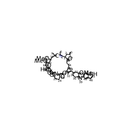 C=CCC1/C=C(\C)CC(C)CC(OC)C2OC(O)(C(=O)C(=O)N3CCCCC3C(=O)OC(C(C)=CC3CCC(N(C)c4ccc5[nH]ccc5c4)C(OC)C3)C(C)CCC1=O)C(C)CC2OC